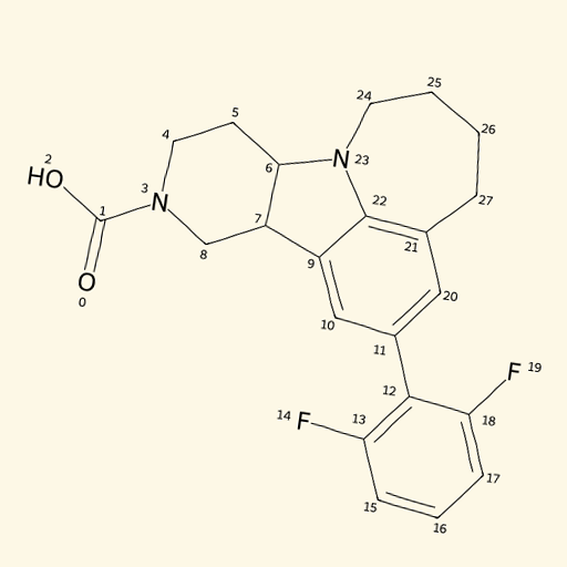 O=C(O)N1CCC2C(C1)c1cc(-c3c(F)cccc3F)cc3c1N2CCCC3